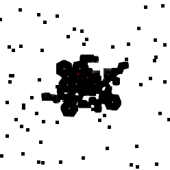 C=CCOC(=O)N[C@H](Cc1cn(C(=O)OC(C)(C)C)c2ccccc12)C(=O)NN(C(=O)OCC1c2ccccc2-c2ccccc21)S(=O)(=O)N[C@@H](Cc1cn(C(=O)OC(C)(C)C)c2ccccc12)C(=O)OCc1ccc(OC)cc1OC